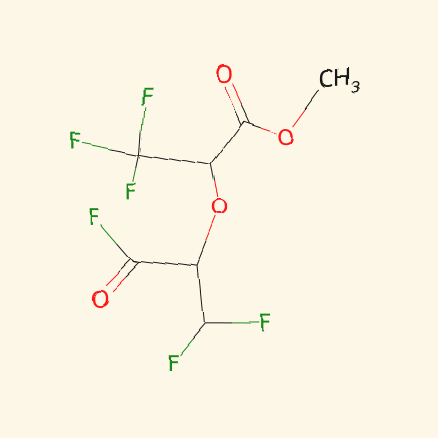 COC(=O)C(OC(C(=O)F)C(F)F)C(F)(F)F